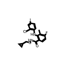 Cc1c(F)ccc(C(=O)NOCC2CC2)c1Nc1ccc(I)cc1Cl